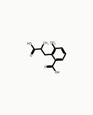 Cc1cccc(C(=O)O)c1CC(C)C(=O)O